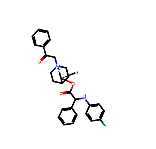 O=C(C[N+]12CCC(CC1)[C@@H](OC(=O)C(Nc1ccc(F)cc1)c1ccccc1)C2)c1ccccc1